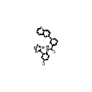 O=C(Nc1ccc(Cl)cc1-c1nnn[nH]1)c1cccc(-c2ccc3ncccc3c2)c1